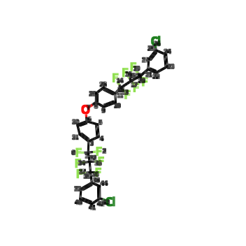 FC(F)(c1ccc(Oc2ccc(C(F)(F)C(F)(F)C(F)(F)c3cccc(Cl)c3)cc2)cc1)C(F)(F)C(F)(F)c1cccc(Cl)c1